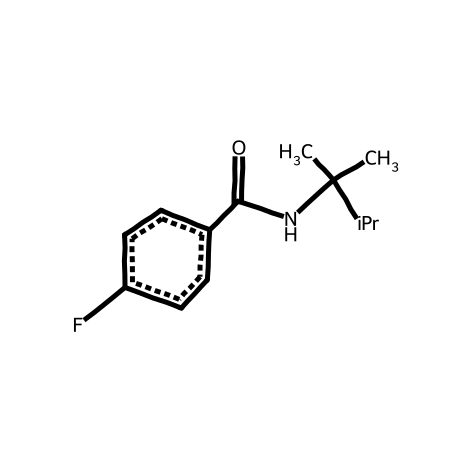 CC(C)C(C)(C)NC(=O)c1ccc(F)cc1